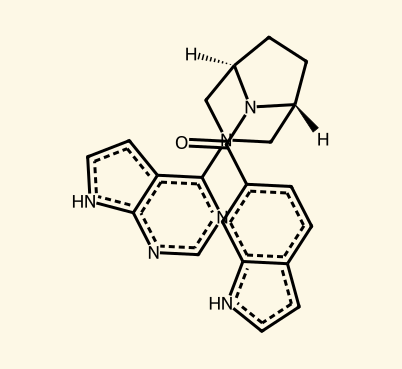 O=C(c1ccc2cc[nH]c2c1)N1[C@@H]2CC[C@@H]1CN(c1ncnc3[nH]ccc13)C2